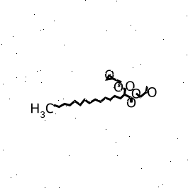 CCCCCCCCCCCCCCCC(C(=O)OCC1CO1)C(=O)OCC1CO1